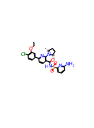 CCOc1cc(-c2ccc(C(=O)NS(=O)(=O)c3cccc(N)n3)c(N3[C@H](C)CC[C@@H]3C)n2)ccc1Cl